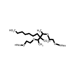 CCCCCCOCCOC(C)C(CCCCCCC(=O)O)(C(=O)O)C(C)OCCOCCCCCC